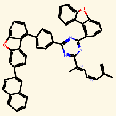 C=C(C)/C=C\C=C(/C)c1nc(-c2ccc(-c3cccc4oc5cc(-c6ccc7ccccc7c6)ccc5c34)cc2)nc(-c2cccc3oc4ccccc4c23)n1